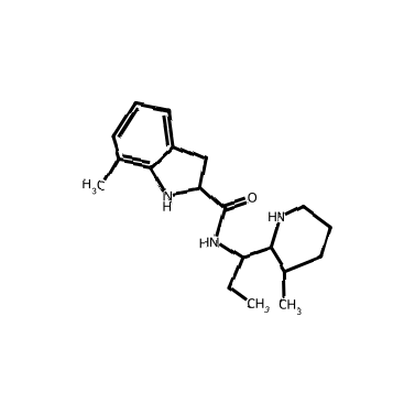 CCC(NC(=O)C1Cc2cccc(C)c2N1)C1NCCCC1C